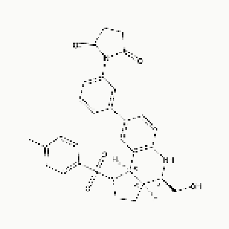 Cc1ccc(S(=O)(=O)N2CC[C@@H]3[C@H](CO)Nc4ccc(-c5cccc(N6C(=O)CCC6=O)c5)cc4[C@@H]32)cc1